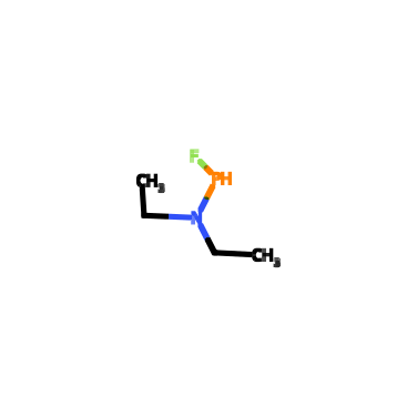 CCN(CC)PF